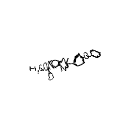 CCOC(=O)N1CCc2nc(-c3ccc(OCc4ccccc4)cc3)cnc2C1